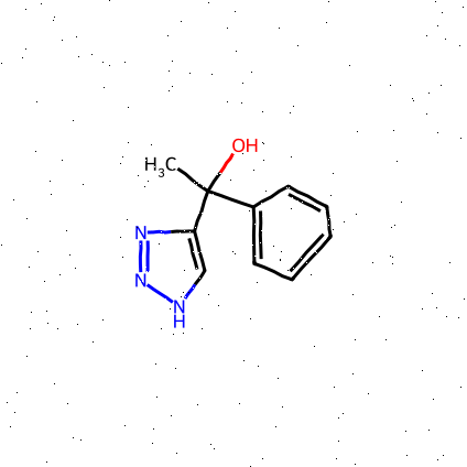 CC(O)(c1ccccc1)c1c[nH]nn1